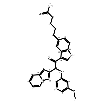 COc1cncc(NC(C(=O)c2c[nH]c3ccc(CCCCC(=O)O)cc23)c2cc3ccccn3n2)c1